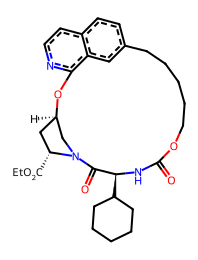 CCOC(=O)[C@@H]1C[C@@H]2CN1C(=O)[C@H](C1CCCCC1)NC(=O)OCCCCCc1ccc3ccnc(c3c1)O2